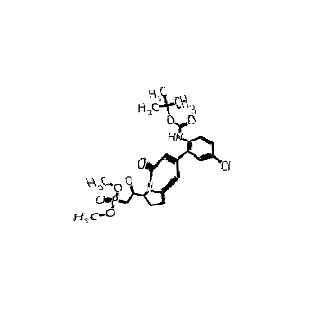 COP(=O)(CC(=O)C1CCc2cc(-c3cc(Cl)ccc3NC(=O)OC(C)(C)C)cc(=O)n21)OC